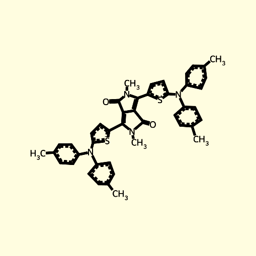 Cc1ccc(N(c2ccc(C)cc2)c2ccc(C3=C4C(=O)N(C)C(c5ccc(N(c6ccc(C)cc6)c6ccc(C)cc6)s5)=C4C(=O)N3C)s2)cc1